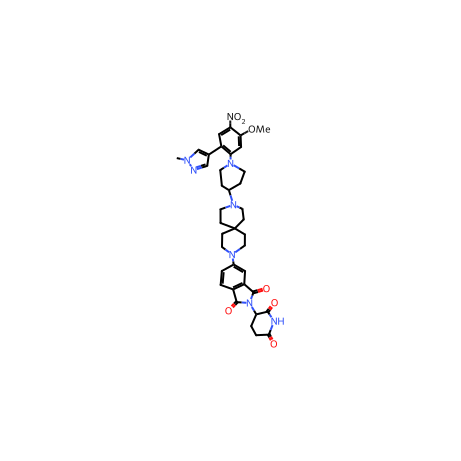 COc1cc(N2CCC(N3CCC4(CCN(c5ccc6c(c5)C(=O)N(C5CCC(=O)NC5=O)C6=O)CC4)CC3)CC2)c(-c2cnn(C)c2)cc1[N+](=O)[O-]